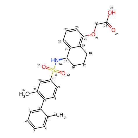 Cc1ccccc1-c1ccc(S(=O)(=O)N[C@@H]2CCCc3c(OCC(=O)O)cccc32)cc1C